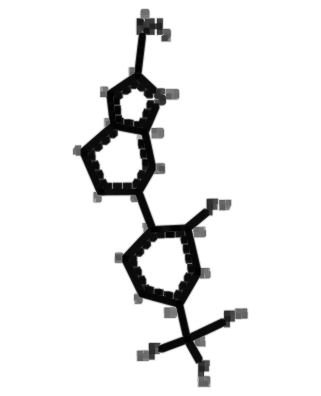 Nc1cc2ccc(-c3ccc(C(F)(F)F)cc3F)cc2s1